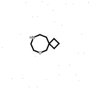 C1CC2(C1)CCNCCOC2